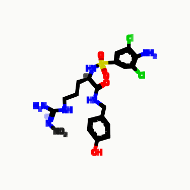 N/C(=N/[N+](=O)[O-])NCCC[C@@H](NS(=O)(=O)c1cc(Cl)c(N)c(Cl)c1)C(=O)NCc1ccc(O)cc1